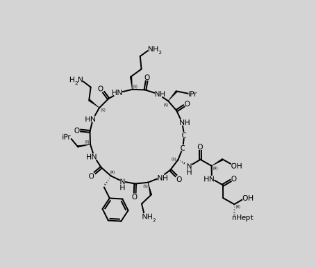 CCCCCCC[C@@H](O)CC(=O)N[C@H](CO)C(=O)N[C@H]1CCNC(=O)[C@H](CC(C)C)NC(=O)[C@H](CCCN)NC(=O)[C@H](CCN)NC(=O)[C@H](CC(C)C)NC(=O)[C@@H](Cc2ccccc2)NC(=O)[C@H](CCN)NC1=O